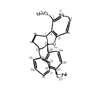 COc1nccc2c1C1CCC(c3ccccc3)C1(c1ccc(C#N)cc1)O2